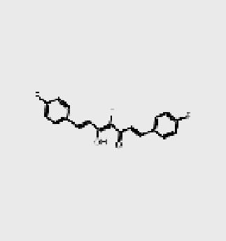 O=C(/C=C/c1ccc(F)cc1)/C(F)=C(O)/C=C/c1ccc(F)cc1